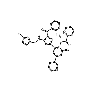 Nc1ccccc1C(=O)n1nc(-c2cc(-c3cccnc3)cc(=O)n2CC(=O)c2ncccn2)cc1NCc1ccc(Cl)s1